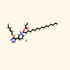 CCCCCCCCCCCCCCCC(OC(=O)CC)[N+]1(C)CCC=C(c2nsnc2OCCCCCC)C1.[I-]